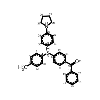 Cc1ccc([SH](c2ccc(C(=O)c3ccccc3)cc2)c2ccc(N3CCCC3)cc2)cc1